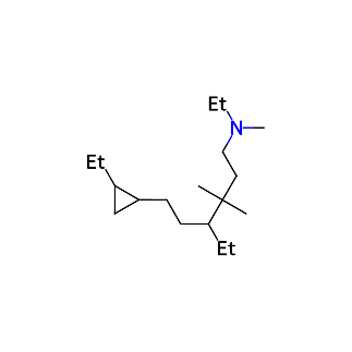 CCC1CC1CCC(CC)C(C)(C)CCN(C)CC